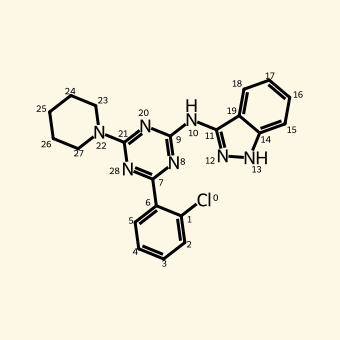 Clc1ccccc1-c1nc(Nc2n[nH]c3ccccc23)nc(N2CCCCC2)n1